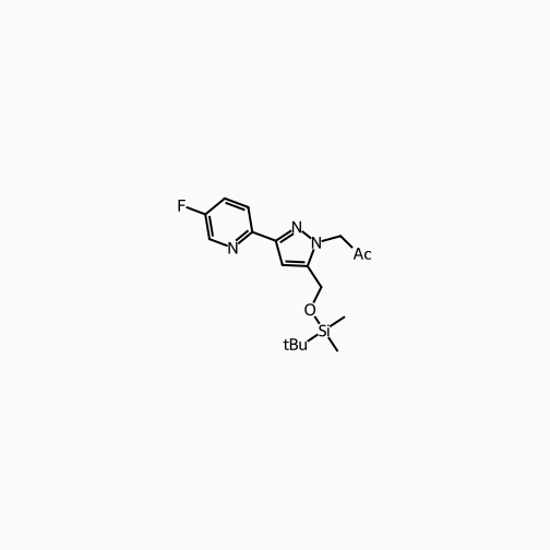 CC(=O)Cn1nc(-c2ccc(F)cn2)cc1CO[Si](C)(C)C(C)(C)C